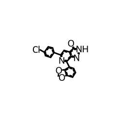 O=c1[nH]cnc2c(-c3cccc4c3OCO4)nc(-c3ccc(Cl)cc3)cc12